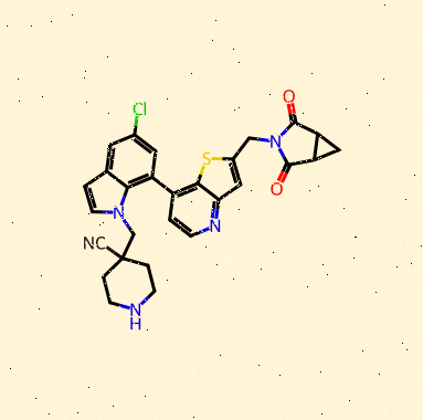 N#CC1(Cn2ccc3cc(Cl)cc(-c4ccnc5cc(CN6C(=O)C7CC7C6=O)sc45)c32)CCNCC1